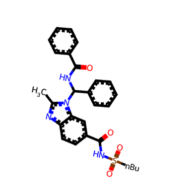 CCCCS(=O)(=O)NC(=O)c1ccc2nc(C)n(C(NC(=O)c3ccccc3)c3ccccc3)c2c1